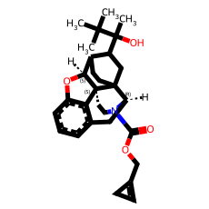 CC(C)(C)C(C)(O)C1CC23CCC1[C@@H]1Oc4cccc5c4[C@@]12CCN(C(=O)OCC1=CC1)[C@@H]3C5